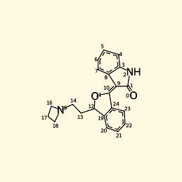 O=C1Nc2ccccc2/C1=C1\OC(CCN2CCC2)c2ccccc21